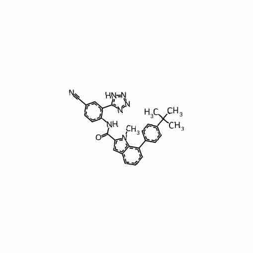 Cn1c(C(=O)Nc2ccc(C#N)cc2-c2nnn[nH]2)cc2cccc(-c3ccc(C(C)(C)C)cc3)c21